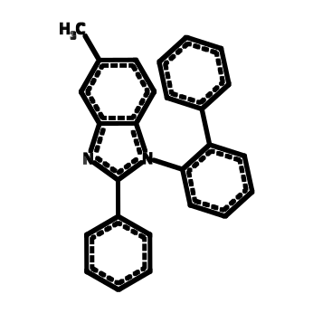 Cc1ccc2c(c1)nc(-c1ccccc1)n2-c1ccccc1-c1ccccc1